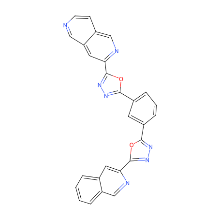 c1cc(-c2nnc(-c3cc4ccccc4cn3)o2)cc(-c2nnc(-c3cc4cnccc4cn3)o2)c1